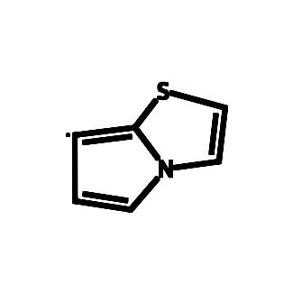 [c]1ccn2ccsc12